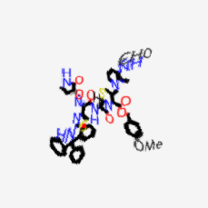 COc1ccc(COC(=O)C2=C(C[n+]3cccc(NC=O)c3C)CS[C@H]3[C@H](NC(=O)/C(=N\O[C@H]4CCNC4=O)c4csc(NC(c5ccccc5)(c5ccccc5)c5ccccc5)n4)C(=O)N23)cc1